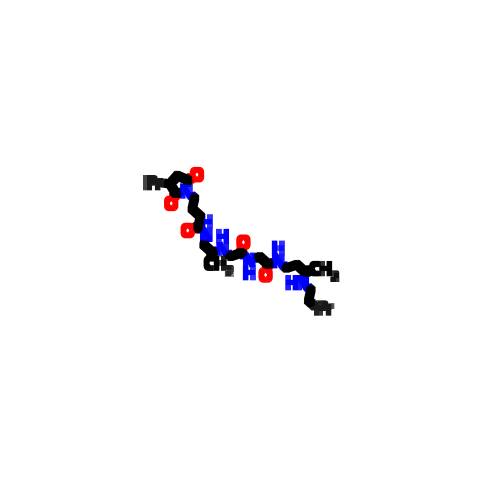 C=C(CCNC(=O)CNC(=O)CNC(=C)CNC(=O)CCCN1C(=O)CC(C(C)C)C1=O)NCCC(C)C